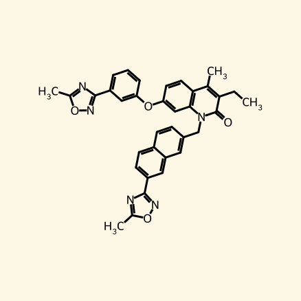 CCc1c(C)c2ccc(Oc3cccc(-c4noc(C)n4)c3)cc2n(Cc2ccc3ccc(-c4noc(C)n4)cc3c2)c1=O